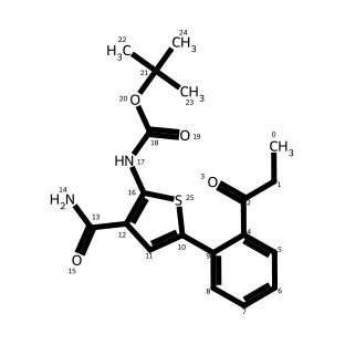 CCC(=O)c1ccccc1-c1cc(C(N)=O)c(NC(=O)OC(C)(C)C)s1